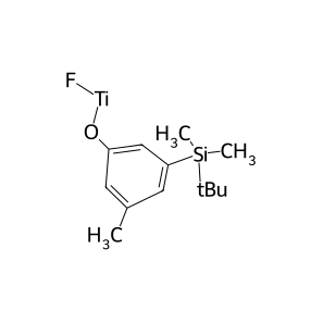 Cc1cc([O][Ti][F])cc([Si](C)(C)C(C)(C)C)c1